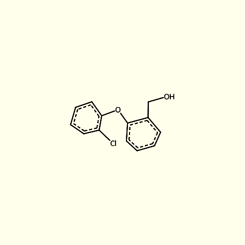 OCc1ccccc1Oc1ccccc1Cl